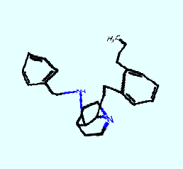 CCCc1ccccc1CC1C(NCc2ccccc2)C2CCN1CC2